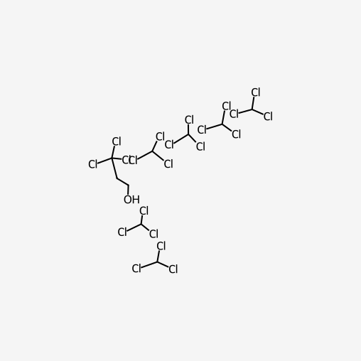 ClC(Cl)Cl.ClC(Cl)Cl.ClC(Cl)Cl.ClC(Cl)Cl.ClC(Cl)Cl.ClC(Cl)Cl.OCCC(Cl)(Cl)Cl